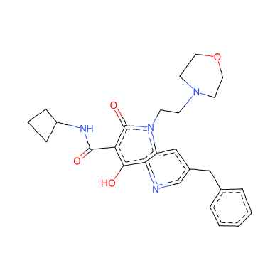 O=C(NC1CCC1)c1c(O)c2ncc(Cc3ccccc3)cc2n(CCN2CCOCC2)c1=O